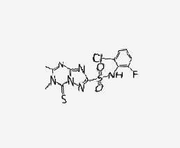 Cc1nc2nc(S(=O)(=O)Nc3c(F)cccc3Cl)nn2c(=S)n1C